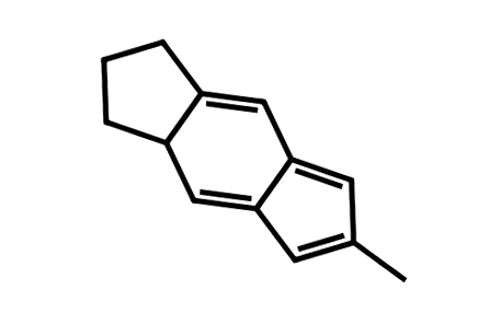 CC1=CC2=CC3CCCC3=CC2=C1